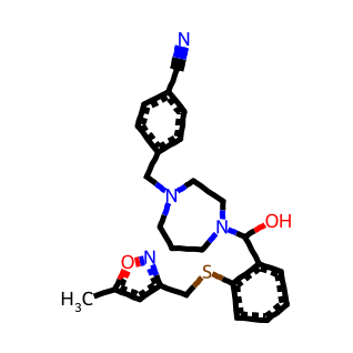 Cc1cc(CSc2ccccc2C(O)N2CCCN(Cc3ccc(C#N)cc3)CC2)no1